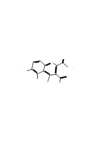 COC(=O)c1nc2ccc(OC)c(F)c2c(F)c1C(=O)OC